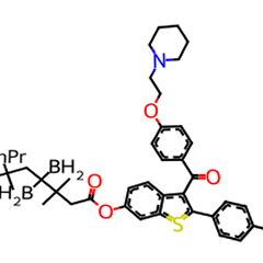 BC(B)(CC(C)(C)CCC)C(C)(C)CC(=O)Oc1ccc2c(C(=O)c3ccc(OCCN4CCCCC4)cc3)c(-c3ccc(C)cc3)sc2c1